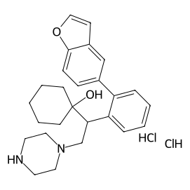 Cl.Cl.OC1(C(CN2CCNCC2)c2ccccc2-c2ccc3occc3c2)CCCCC1